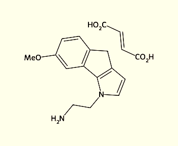 COc1ccc2c(c1)-c1c(ccn1CCN)C2.O=C(O)C=CC(=O)O